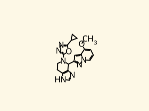 COc1cccn2nc(C3c4nc[nH]c4CCN3c3nnc(C4CC4)o3)cc12